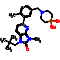 Cc1ccc(CN2CCS(O)(O)CC2)cc1-c1ccc2c(n1)n(C)c(=O)n2CC(C)(C)C